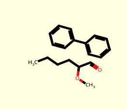 CCCCC(C=O)OC.c1ccc(-c2ccccc2)cc1